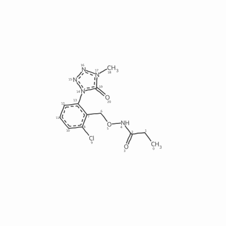 CCC(=O)NOCc1c(Cl)cccc1-n1nnn(C)c1=O